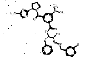 Cc1csc([C@H]2CCCN2C(=O)c2cc(C(=O)N[C@@H](Cc3ccccc3)[C@@H](O)CNCc3cccc(Cl)c3)cc(N(C)C)c2)n1